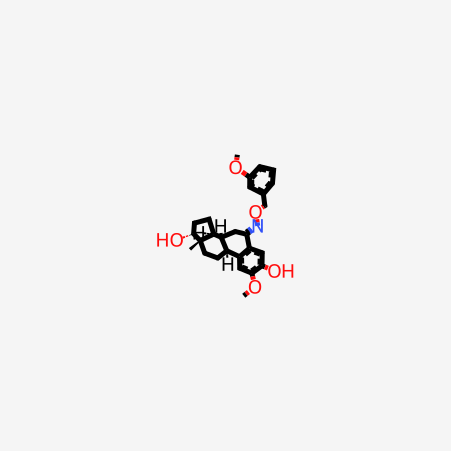 COc1cccc(CON=C2C[C@@H]3[C@H](CC[C@]4(C)[C@H](O)CC[C@@H]34)c3cc(OC)c(O)cc32)c1